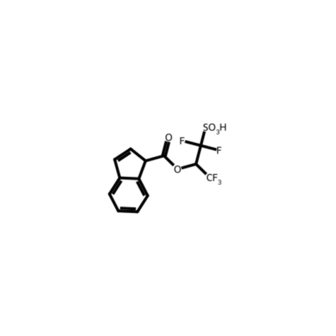 O=C(OC(C(F)(F)F)C(F)(F)S(=O)(=O)O)C1C=Cc2ccccc21